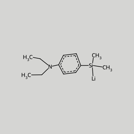 [Li][Si](C)(C)c1ccc(N(CC)CC)cc1